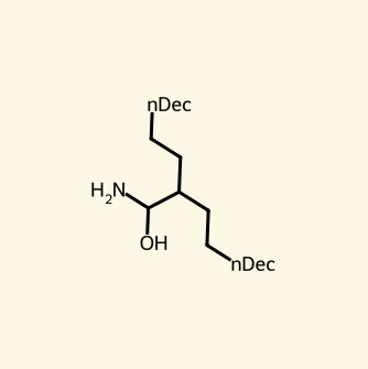 CCCCCCCCCCCCC(CCCCCCCCCCCC)C(N)O